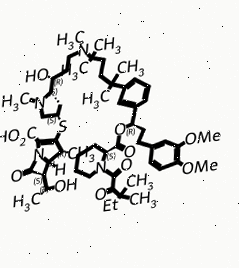 CCC(C)(C)C(=O)C(=O)N1CCCC[C@H]1C(=O)O[C@H](CCc1ccc(OC)c(OC)c1)c1cccc(C(C)(C)CCC(C)(C)N(C)CC[C@@H](O)[C@@H]2C[C@H](SC3=C(C(=O)O)N4C(=O)[C@H]([C@@H](C)O)[C@H]4[C@H]3C)CN2C)c1